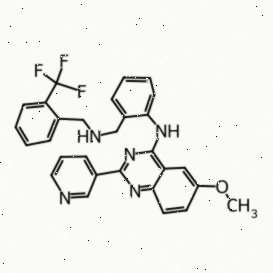 COc1ccc2nc(-c3cccnc3)nc(Nc3ccccc3CNCc3ccccc3C(F)(F)F)c2c1